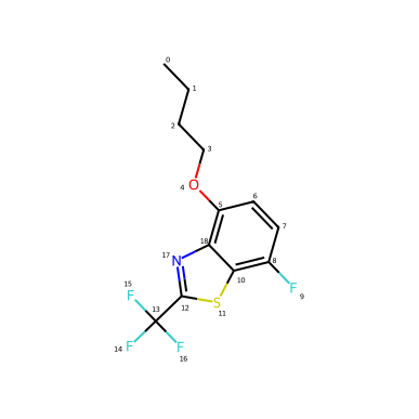 CCCCOc1ccc(F)c2sc(C(F)(F)F)nc12